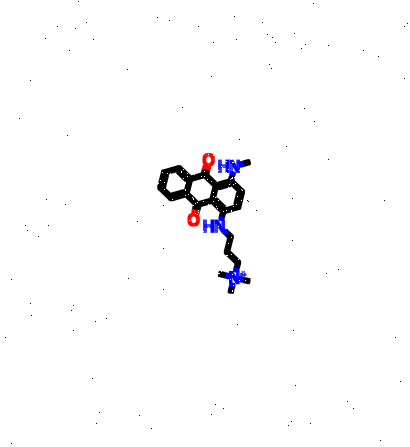 CNc1ccc(NCCC[N+](C)(C)C)c2c1C(=O)c1ccccc1C2=O